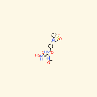 CC(=O)N1C[C@H](C(=O)NO)[C@H](NC(=O)c2ccc(CN3CCS(=O)(=O)c4ccccc43)cc2)C1